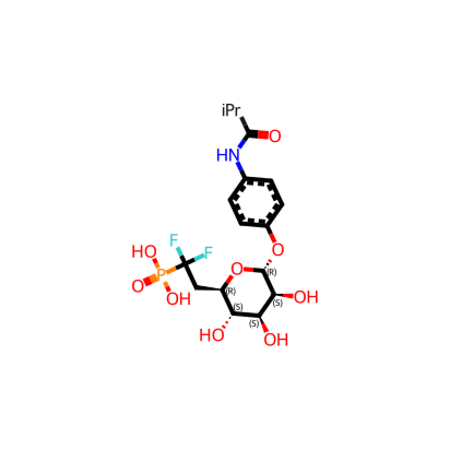 CC(C)C(=O)Nc1ccc(O[C@H]2O[C@H](CC(F)(F)P(=O)(O)O)[C@@H](O)[C@H](O)[C@@H]2O)cc1